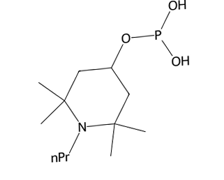 CCCN1C(C)(C)CC(OP(O)O)CC1(C)C